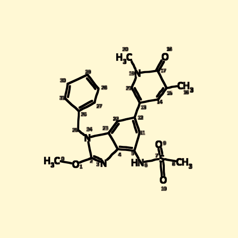 COc1nc2c(NS(C)(=O)=O)cc(-c3cc(C)c(=O)n(C)c3)cc2n1Cc1ccccc1